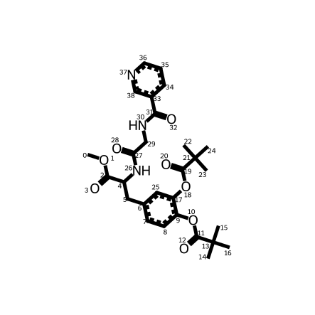 COC(=O)C(Cc1ccc(OC(=O)C(C)(C)C)c(OC(=O)C(C)(C)C)c1)NC(=O)CNC(=O)c1cccnc1